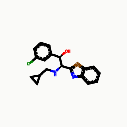 O[C@H](c1cccc(Cl)c1)[C@H](NCC1CC1)c1nc2ccccc2s1